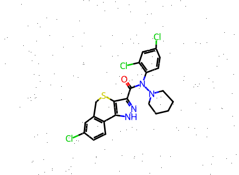 O=C(c1n[nH]c2c1SCc1cc(Cl)ccc1-2)N(c1ccc(Cl)cc1Cl)N1CCCCC1